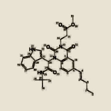 CCCC=Cc1ccc2c(c1)c(=O)n(CCC(=O)OC)c(=O)n2C(C(=O)NC(C)(C)C)c1c[nH]c2ccccc12